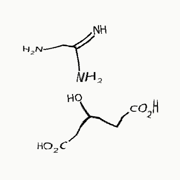 N=C(N)N.O=C(O)CC(O)C(=O)O